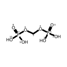 O=P(O)(O)O[CH]OP(=O)(O)O